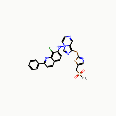 CS(=O)(=O)Cc1cnc(SC2=C3C=NC=C[N+]3(Nc3ccc4ccc(-c5ccccc5)nc4c3F)C=N2)s1